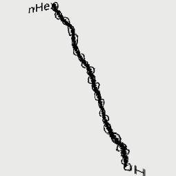 CCCCCCOCCOCCOCCOCCOCCOCCOCCOCCOCCOCCOCCOCCOCCOCCOCCOCCOCCOCCOCCOCCO